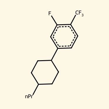 CCCC1CCC(c2ccc(C(F)(F)F)c(F)c2)CC1